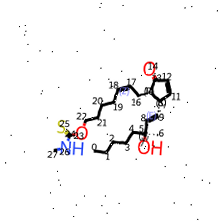 CCCCC[C@](C)(O)/C=C/[C@H]1C=CC(=O)[C@@H]1C/C=C\CCCCOC(=S)NC